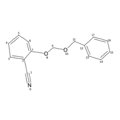 N#Cc1ccccc1OCOCc1ccccc1